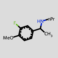 CCCNC(C)c1ccc(OC)c(F)c1